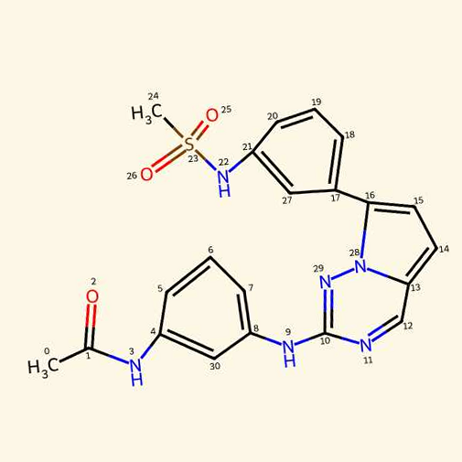 CC(=O)Nc1cccc(Nc2ncc3ccc(-c4cccc(NS(C)(=O)=O)c4)n3n2)c1